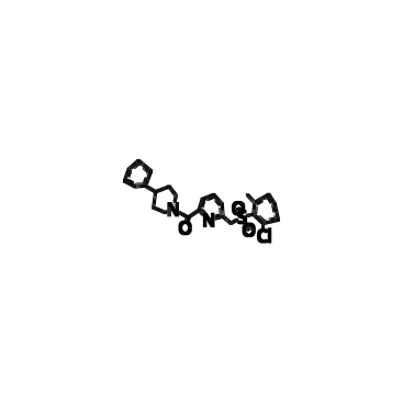 Cc1cccc(Cl)c1S(=O)(=O)Cc1cccc(C(=O)N2CCC(c3ccccc3)CC2)n1